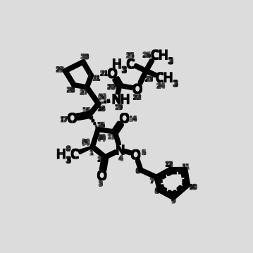 C[C@@H]1C(=O)N(OCc2ccccc2)C(=O)[C@H]1C(=O)[C@@H](NC(=O)OC(C)(C)C)C1CCCC1